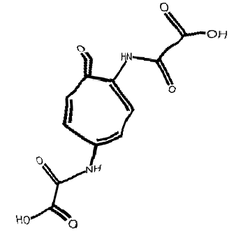 O=C(O)C(=O)Nc1ccc(NC(=O)C(=O)O)c(=O)cc1